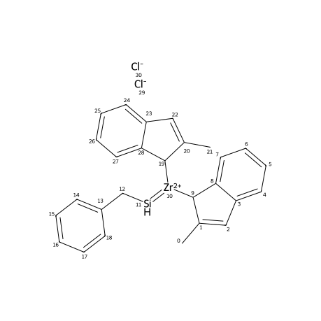 CC1=Cc2ccccc2[CH]1[Zr+2](=[SiH]Cc1ccccc1)[CH]1C(C)=Cc2ccccc21.[Cl-].[Cl-]